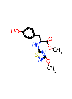 COC(=O)[C@H](Cc1ccc(O)cc1)Nc1nc(OC)ns1